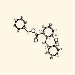 O=C(OCc1ccccc1)c1cccc2c1Cc1ccccc1O2